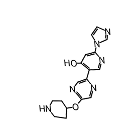 Oc1cc(-n2ccnc2)ncc1-c1cnc(OC2CCNCC2)cn1